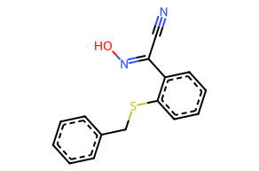 N#CC(=NO)c1ccccc1SCc1ccccc1